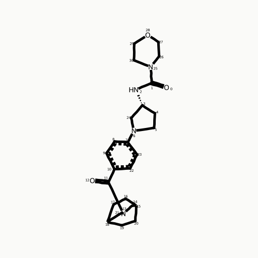 O=C(N[C@@H]1CCN(c2ccc(C(=O)N3CC4CCC(CC4)C3)cc2)C1)N1CCOCC1